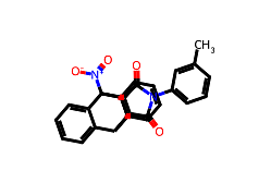 Cc1cccc(N2C(=O)C3=C(C2=O)C2([N+](=O)[O-])c4ccccc4C3c3ccccc32)c1